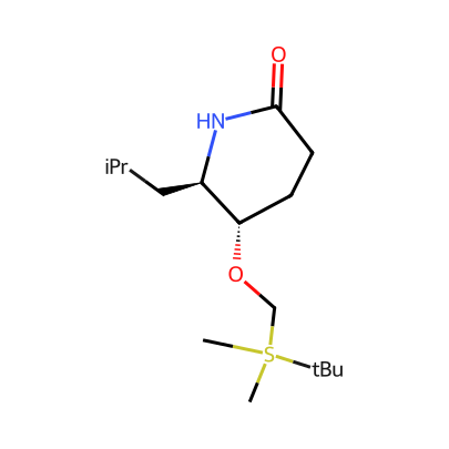 CC(C)C[C@H]1NC(=O)CC[C@@H]1OCS(C)(C)C(C)(C)C